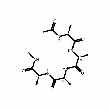 CNC(=O)[C@H](C)NC(=O)[C@H](C)NC(=O)[C@H](C)NC(=O)[C@H](C)NC(C)=O